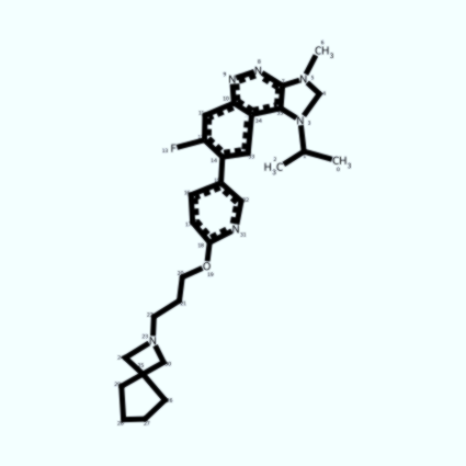 CC(C)N1CN(C)c2nnc3cc(F)c(-c4ccc(OCCCN5CC6(CCCC6)C5)nc4)cc3c21